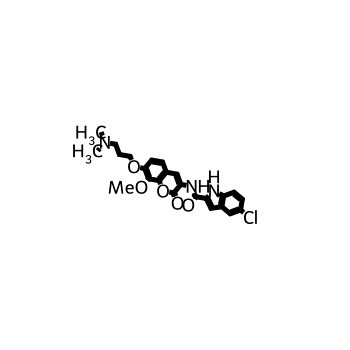 COc1c(OCCCN(C)C)ccc2cc(NC(=O)c3cc4cc(Cl)ccc4[nH]3)c(=O)oc12